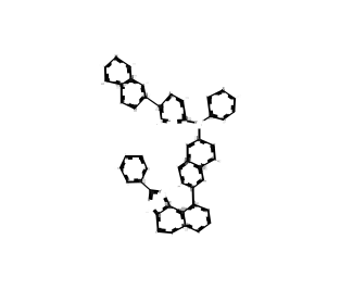 c1ccc(-c2nc3c(ccc4cccc(-c5ccc6cc(N(c7ccccc7)c7ccc(-c8ccc9ccccc9c8)cc7)ccc6c5)c43)o2)cc1